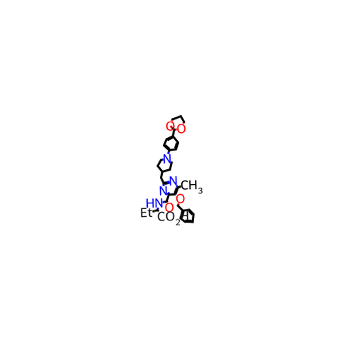 CCC(NC(=O)c1nc(CC2CCN(c3ccc(C4OCCCO4)cc3)CC2)nc(C)c1OCc1ccccc1)C(=O)O